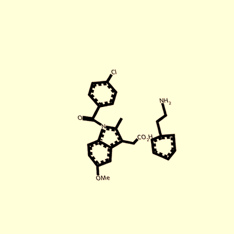 COc1ccc2c(c1)c(CC(=O)O)c(C)n2C(=O)c1ccc(Cl)cc1.NCCc1ccccc1